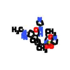 CC[C@@H]1CN(Cc2cc([C@H](CC(=O)Nc3ccncc3)c3ccc4c(nnn4CC)c3C)ccc2C)S(=O)(=O)c2cccnc2O1